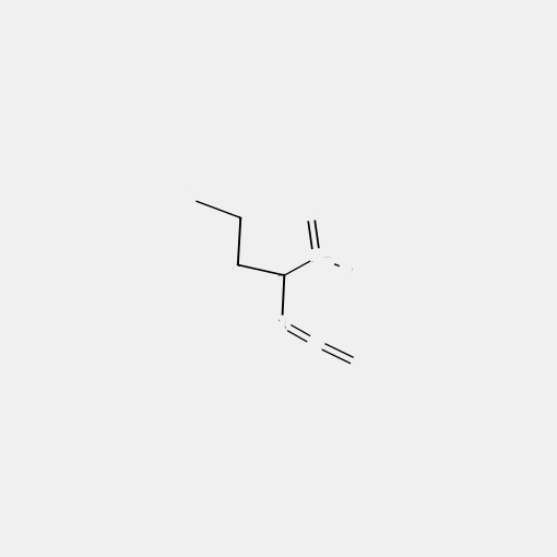 O=C=NC(CCCl)[PH](=O)O